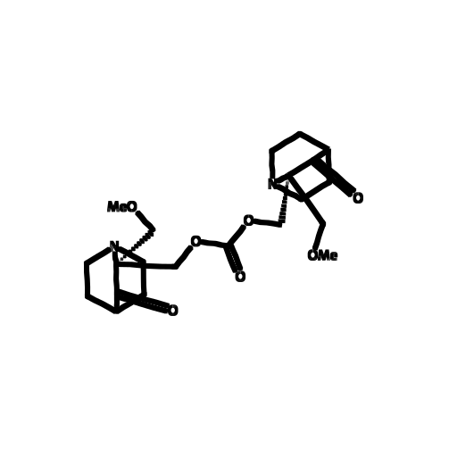 COC[C@]1(COC(=O)OC[C@@]2(COC)C(=O)C3CCN2CC3)C(=O)C2CCN1CC2